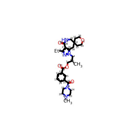 CCc1nn(C[C@@H](C)COC(=O)c2cccc(C(=O)N3CCN(C)CC3)c2)c2c1C(=O)NCC1(CCOCC1)C2